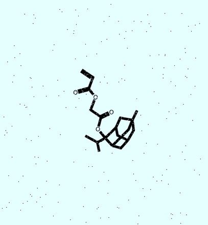 C=CC(=O)OCC(=O)OC1(C(C)C)C2CC3CC1CC(C)(C3)C2